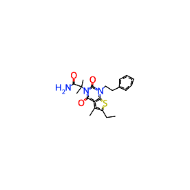 CCc1sc2c(c1C)c(=O)n(C(C)(C)C(N)=O)c(=O)n2CCc1ccccc1